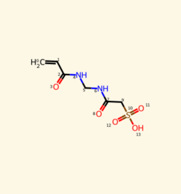 C=CC(=O)NCNC(=O)CS(=O)(=O)O